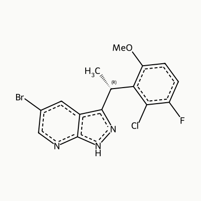 COc1ccc(F)c(Cl)c1[C@@H](C)c1n[nH]c2ncc(Br)cc12